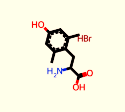 Br.Cc1cc(O)cc(C)c1CC(N)C(=O)O